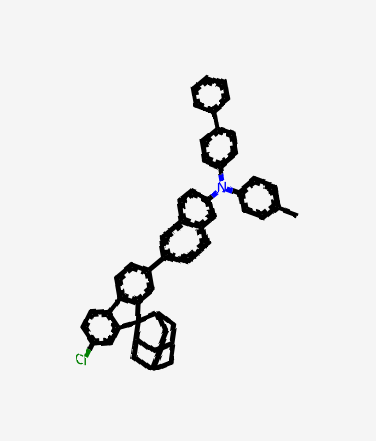 Cc1ccc(N(c2ccc(-c3ccccc3)cc2)c2ccc3cc(-c4ccc5c(c4)C4(c6cc(Cl)ccc6-5)C5CC6CC(C5)CC4C6)ccc3c2)cc1